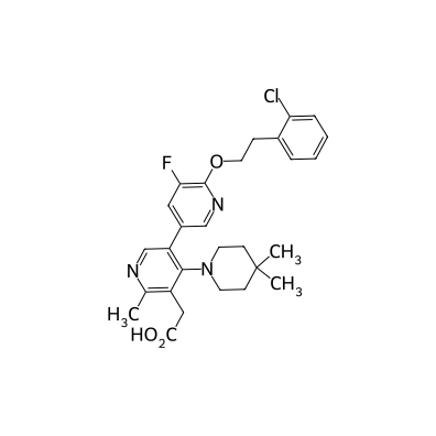 Cc1ncc(-c2cnc(OCCc3ccccc3Cl)c(F)c2)c(N2CCC(C)(C)CC2)c1CC(=O)O